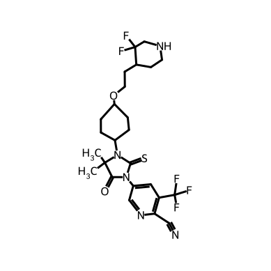 CC1(C)C(=O)N(c2cnc(C#N)c(C(F)(F)F)c2)C(=S)N1C1CCC(OCCC2CCNCC2(F)F)CC1